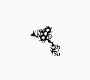 CC(C)(C)OC(=O)NCCC#Cc1ccc(NCC2CC2)c2c1C(=O)c1ccccc1C2=O